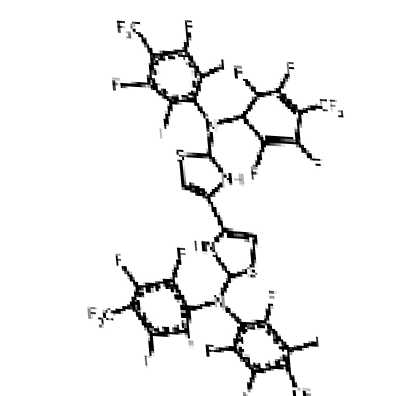 FC1=C(F)C(N(c2c(F)c(F)c(C(F)(F)F)c(F)c2F)C2NC(C3=CSC(N(c4c(F)c(F)c(C(F)(F)F)c(F)c4F)c4c(F)c(F)c(C(F)(F)F)c(F)c4F)N3)=CS2)C(F)C(F)=C1C(F)(F)F